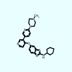 CN1CCN(c2ccc(-c3cnccc3Oc3ccc4nc(NC5CCCCC5)sc4c3)cn2)CC1